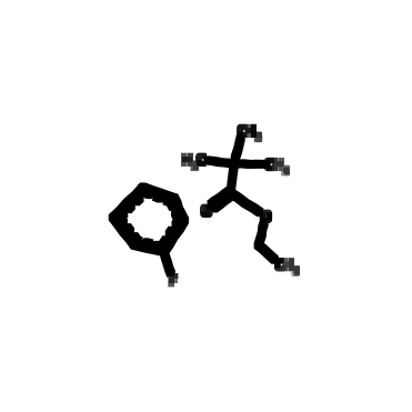 CCOC(=O)C(C)(C)C.Fc1ccccc1